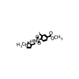 COC(=O)c1ccc(S(=O)(=O)NCc2ccn(C)n2)c(I)c1